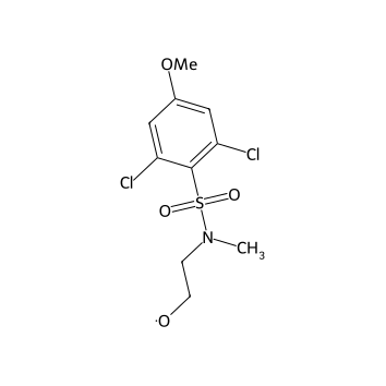 COc1cc(Cl)c(S(=O)(=O)N(C)CC[O])c(Cl)c1